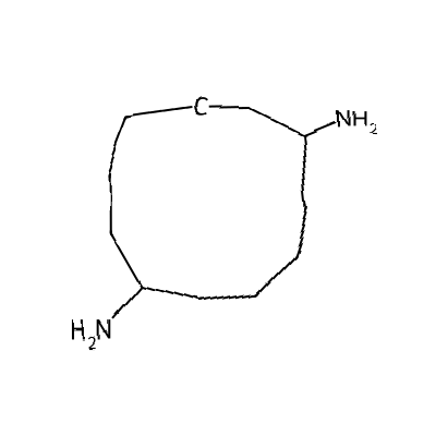 NC1CCCCCC(N)CCCC1